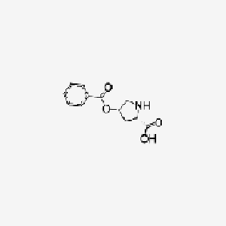 O=C(O[C@H]1CN[C@H](C(=O)O)C1)c1ccccc1